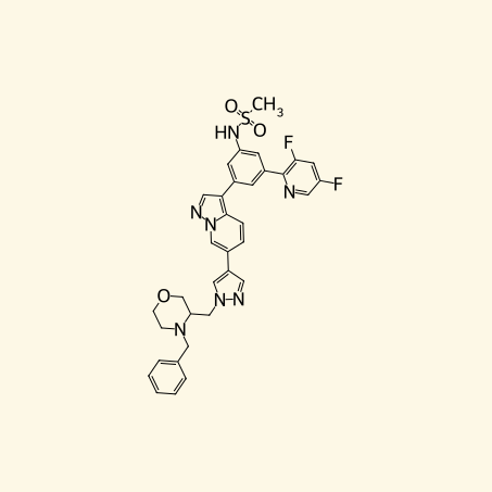 CS(=O)(=O)Nc1cc(-c2ncc(F)cc2F)cc(-c2cnn3cc(-c4cnn(CC5COCCN5Cc5ccccc5)c4)ccc23)c1